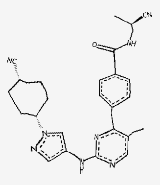 Cc1cnc(Nc2cnn([C@H]3CC[C@@H](C#N)CC3)c2)nc1-c1ccc(C(=O)N[C@@H](C)C#N)cc1